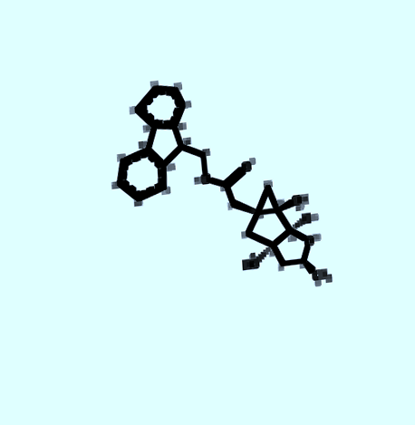 C[C@H]1C[C@@]2(O)C[C@]3(CC(=O)OCC4c5ccccc5-c5ccccc54)C[C@]3(O)[C@H]2O1